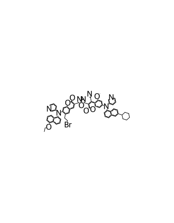 CCOc1cccc2c(N(c3cccnc3)c3cc4oc(=O)c(-c5nnc(-c6c(C#N)c7c(OC)cc(N(c8cccnc8)c8cccc9cc(C%10CCCCC%10)ccc89)cc7oc6=O)o5)cc4cc3CCBr)cccc12